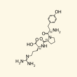 NC(N)=NCCC[C@H](NC(=O)[C@@H]1CCCN1C(=O)[C@@H](N)Cc1ccc(O)cc1)C(=O)O